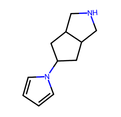 c1ccn(C2CC3CNCC3C2)c1